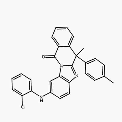 Cc1ccc(C2(C)c3ccccc3C(=O)n3c2nc2ccc(Nc4ccccc4Cl)cc23)cc1